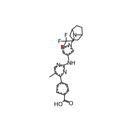 Cc1cnc(Nc2cnn(C3CC4CCC(C3)N4CC(F)(F)F)c2)nc1-c1ccc(C(=O)O)cc1